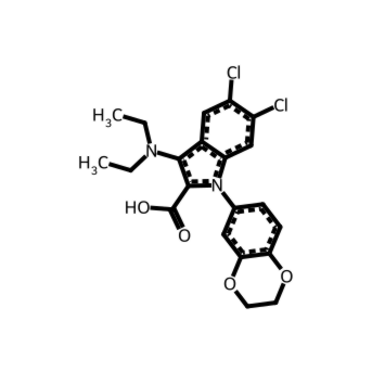 CCN(CC)c1c(C(=O)O)n(-c2ccc3c(c2)OCCO3)c2cc(Cl)c(Cl)cc12